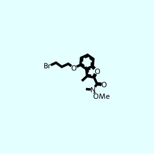 CON(C)C(=O)c1oc2cccc(OCCCBr)c2c1C